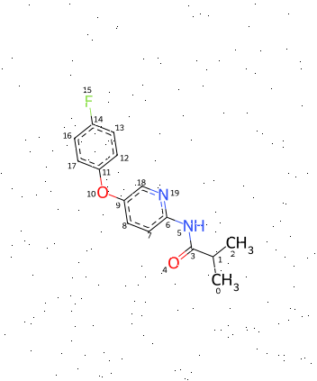 CC(C)C(=O)Nc1ccc(Oc2ccc(F)cc2)cn1